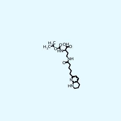 CC(C)OC(=O)NC(CCNC(=O)CCCCc1ccc2c(n1)NCCC2)C(=O)O